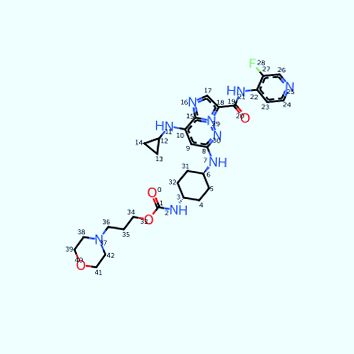 O=C(N[C@H]1CC[C@H](Nc2cc(NC3CC3)c3ncc(C(=O)Nc4ccncc4F)n3n2)CC1)OCCCN1CCOCC1